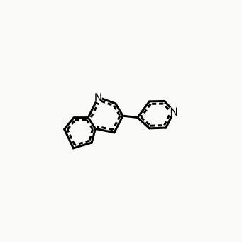 c1ccc2ncc(-c3ccncc3)cc2c1